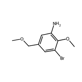 COCc1cc(N)c(OC)c(Br)c1